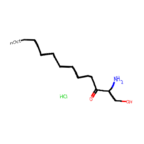 CCCCCCCCCCCCCCCC(=O)C(N)CO.Cl